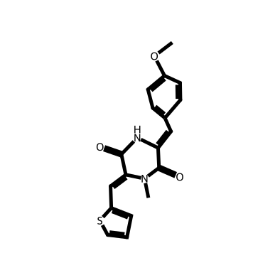 COc1ccc(C=c2[nH]c(=O)c(=Cc3cccs3)n(C)c2=O)cc1